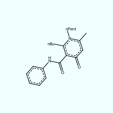 CCCCCn1c(C)cc(=O)c(C(=O)Nc2ccccc2)c1CCCC